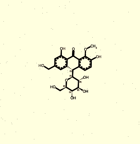 COc1c(O)ccc2c1C(=O)c1c(O)cc(CO)cc1[C@H]2[C@@H]1O[C@H](CO)[C@@H](O)[C@H](O)[C@H]1O